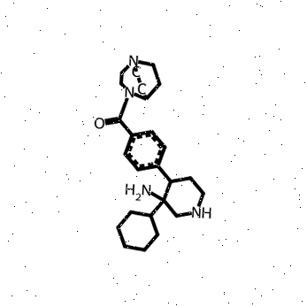 NC1(C2CCCCC2)CNCCC1c1ccc(C(=O)N2CCN3CCC2CC3)cc1